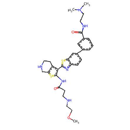 COCCNCCC(=O)Nc1sc2c(c1-c1nc3ccc(-c4cccc(C(=O)NCCN(C)C)c4)cc3s1)CCNC2